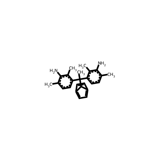 Cc1ccc(C(C)(c2ccc(C)c(N)c2C)C2C3=CC=C2C=C3)c(C)c1N